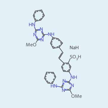 COc1nc(Nc2ccccc2)nc(Nc2ccc(C=Cc3ccc(Nc4nc(Nc5ccccc5)nc(OC)n4)cc3S(=O)(=O)O)cc2)n1.[NaH]